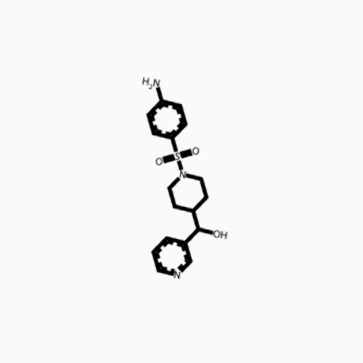 Nc1ccc(S(=O)(=O)N2CCC(C(O)c3cccnc3)CC2)cc1